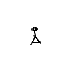 [Bi][CH]1CC1